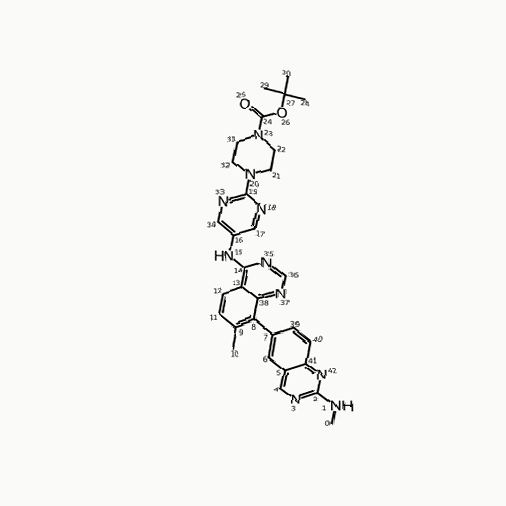 CNc1ncc2cc(-c3c(C)ccc4c(Nc5cnc(N6CCN(C(=O)OC(C)(C)C)CC6)nc5)ncnc34)ccc2n1